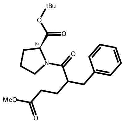 COC(=O)CCC(Cc1ccccc1)C(=O)N1CCC[C@H]1C(=O)OC(C)(C)C